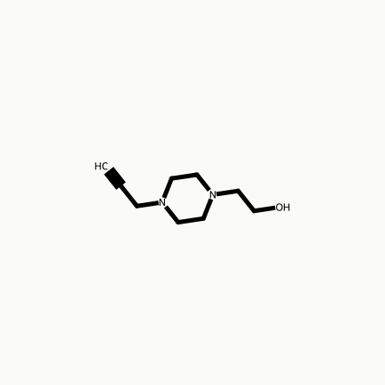 C#CCN1CCN(CCO)CC1